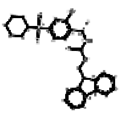 C[C@H](NC(=O)OCC1c2ccccc2-c2ccccc21)c1ccc(S(=O)(=O)C2CCCCC2)cc1Br